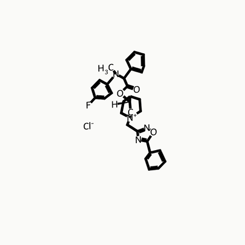 CN(c1ccc(F)cc1)C(C(=O)O[C@H]1C[N+]2(Cc3noc(-c4ccccc4)n3)CCC1CC2)c1ccccc1.[Cl-]